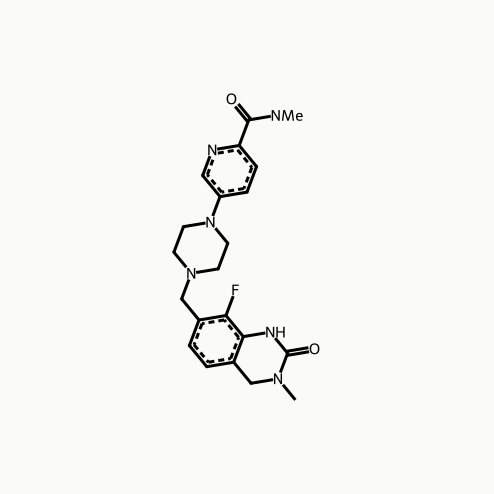 CNC(=O)c1ccc(N2CCN(Cc3ccc4c(c3F)NC(=O)N(C)C4)CC2)cn1